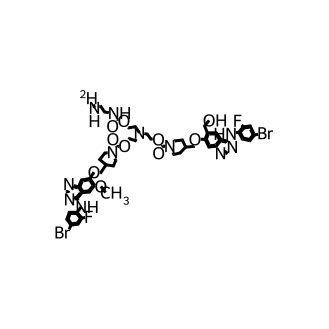 [2H]NCCNC(=O)OCCN(CCOC(=O)N1CCC(COc2cc3ncnc(Nc4ccc(Br)cc4F)c3cc2CO)CC1)CCOC(=O)N1CCC(COc2cc3ncnc(Nc4ccc(Br)cc4F)c3cc2OC)CC1